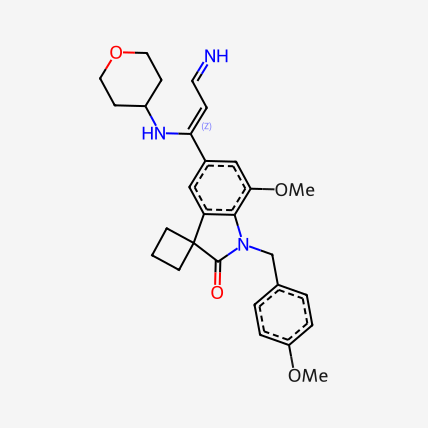 COc1ccc(CN2C(=O)C3(CCC3)c3cc(/C(=C/C=N)NC4CCOCC4)cc(OC)c32)cc1